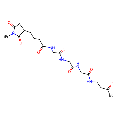 CCC(=O)CCNC(=O)CNC(=O)CNC(=O)CNC(=O)CCCC1CC(=O)N(C(C)C)C1=O